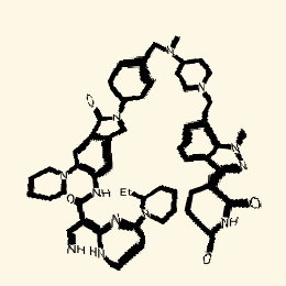 CCC1CCCCN1C1=N/C(=C(/C=N)C(=O)Nc2cc3c(cc2N2CCCCC2)C(=O)N(C2CCC(CN(C)C4CCN(Cc5cccc6c(C7CCC(=O)NC7=O)nn(C)c56)CC4)CC2)C3)NC=C1